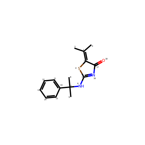 CC(C)=C1SC(NC(C)(C)c2ccccc2)=NC1=O